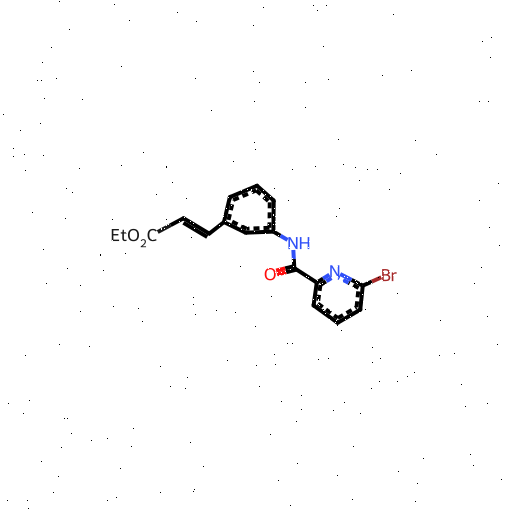 CCOC(=O)/C=C/c1cccc(NC(=O)c2cccc(Br)n2)c1